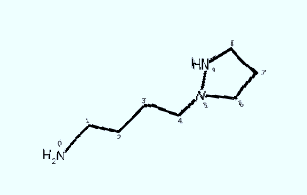 NCCCCN1CCCN1